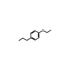 CCCc1ccc(SCC)cc1